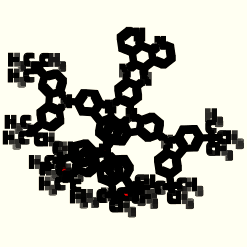 CC(C)(C)c1ccc2c(c1)c1cc(C(C)(C)C)ccc1n2-c1ccc2c(c1)c1cc(-n3c4ccc(C(C)(C)C)cc4c4cc(C(C)(C)C)ccc43)ccc1n2-c1cc2nc3c4cccnc4c4ncccc4c3nc2cc1-n1c2ccc(-n3c4ccc(C(C)(C)C)cc4c4cc(C(C)(C)C)ccc43)cc2c2cc(-n3c4ccc(C(C)(C)C)cc4c4cc(C(C)(C)C)ccc43)ccc21